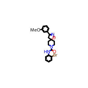 COc1cccc(C2=NOC3(CCN(C(=O)Nc4ccccc4Br)CC3)C2)c1